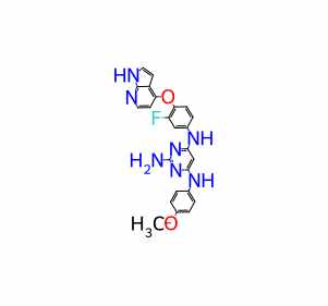 COc1ccc(Nc2cc(Nc3ccc(Oc4ccnc5[nH]ccc45)c(F)c3)nc(N)n2)cc1